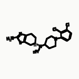 CCCN(C1CCN(c2cccc(Cl)c2Cl)CC1)[C@H]1CCc2nc(N)sc2C1